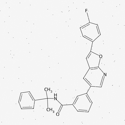 CC(C)(NC(=O)c1cccc(-c2cnc3oc(-c4ccc(F)cc4)cc3c2)c1)c1ccccc1